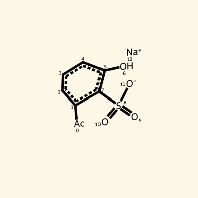 CC(=O)c1cccc(O)c1S(=O)(=O)[O-].[Na+]